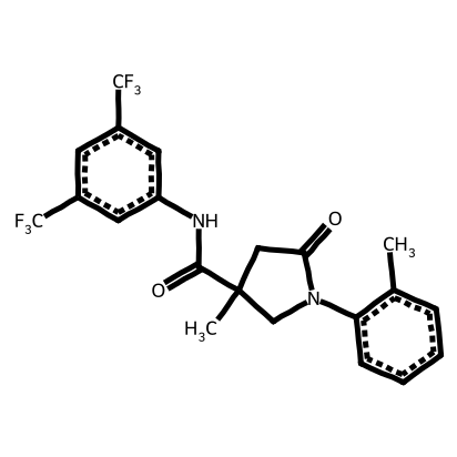 Cc1ccccc1N1CC(C)(C(=O)Nc2cc(C(F)(F)F)cc(C(F)(F)F)c2)CC1=O